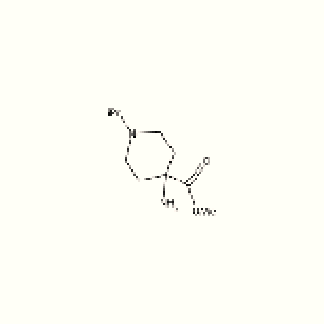 COC(=O)C1(N)CCN(C(C)C)CC1